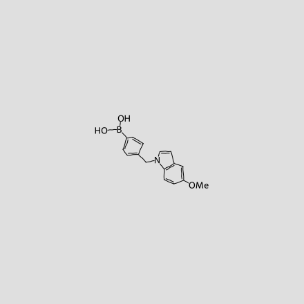 COc1ccc2c(ccn2Cc2ccc(B(O)O)cc2)c1